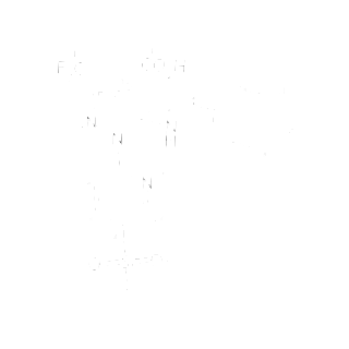 CS(=O)(=O)c1ccc(-n2nc(C(F)(F)F)c(C(=O)O)c2NCC2CCCCC2)nc1